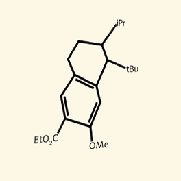 CCOC(=O)c1cc2c(cc1OC)C(C(C)(C)C)C(C(C)C)CC2